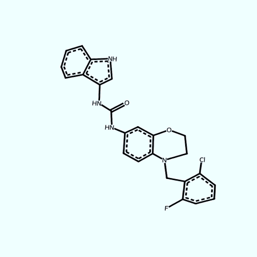 O=C(Nc1ccc2c(c1)OCCN2Cc1c(F)cccc1Cl)Nc1c[nH]c2ccccc12